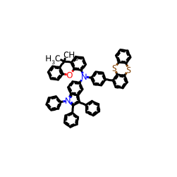 CC1(C)c2ccccc2Oc2c(N(c3ccc(-c4cccc5c4Sc4ccccc4S5)cc3)c3ccc4c(c3)c(-c3ccccc3)c(-c3ccccc3)n4-c3ccccc3)cccc21